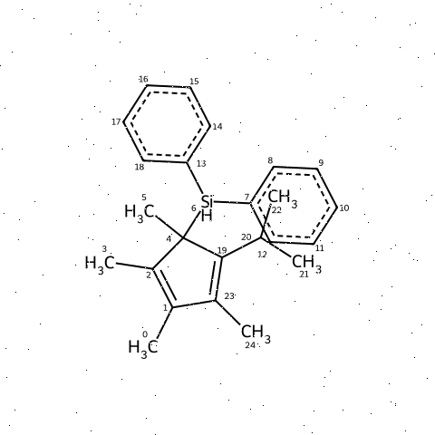 CC1=C(C)C(C)([SiH](c2ccccc2)c2ccccc2)C(C(C)C)=C1C